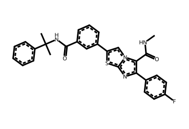 CNC(=O)c1c(-c2ccc(F)cc2)nc2sc(-c3cccc(C(=O)NC(C)(C)c4ccccc4)c3)cn12